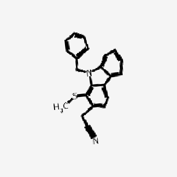 CSc1c(CC#N)ccc2c3ccccc3n(Cc3ccccc3)c12